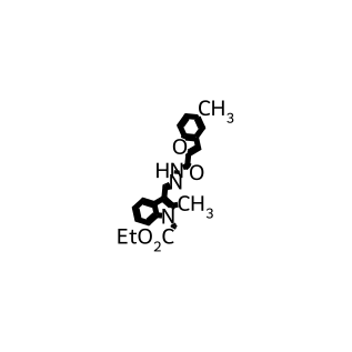 CCOC(=O)Cn1c(C)c(/C=N/NC(=O)c2cc3cc(C)ccc3o2)c2ccccc21